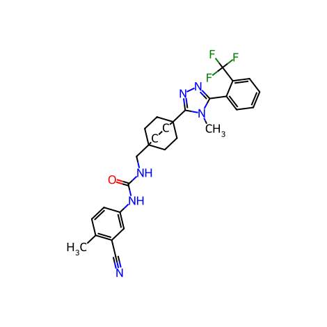 Cc1ccc(NC(=O)NCC23CCC(c4nnc(-c5ccccc5C(F)(F)F)n4C)(CC2)CC3)cc1C#N